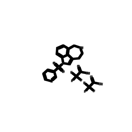 O=C(O)C(F)(F)F.O=C(O)C(F)(F)F.O=S(=O)(c1cccnc1)n1cc2c3c(cccc31)CNCC2